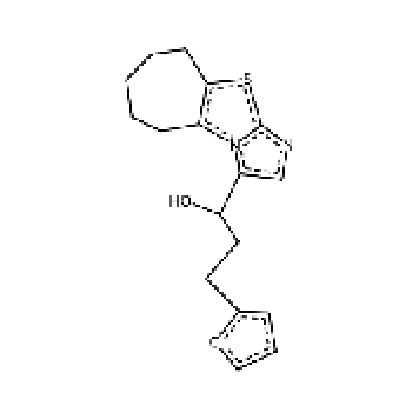 OC(CCc1ccco1)c1cnc2sc3c(n12)CCCCC3